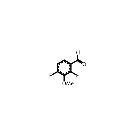 COc1c(F)ccc(C(=O)Cl)c1F